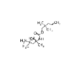 C=CCC(C)(C)COC(=O)NC(C)(C)CC(C)(C)N